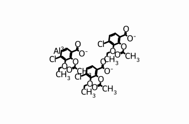 CCOc1c(Cl)ccc(C(=O)[O-])c1OC(C)=O.CCOc1c(Cl)ccc(C(=O)[O-])c1OC(C)=O.CCOc1c(Cl)ccc(C(=O)[O-])c1OC(C)=O.[Al+3]